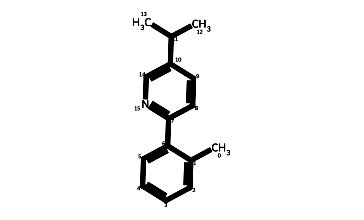 Cc1ccccc1-c1ccc(C(C)C)cn1